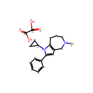 CCN1CCCc2c(cc(-c3ccccc3)n2C2CC2)C1.O=C(O)C(=O)O